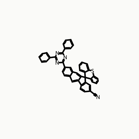 N#Cc1ccc2c(c1)C1(c3ccccc3Sc3ccccc31)c1cc3cc(-c4nc(-c5ccccc5)nc(-c5ccccc5)n4)ccc3cc1-2